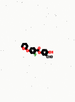 O=Cc1cc(OC(=O)c2ccc(OC3CCCCO3)cc2F)ccc1O